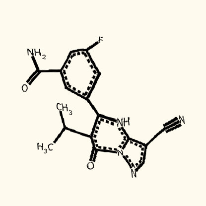 CC(C)c1c(-c2cc(F)cc(C(N)=O)c2)[nH]c2c(C#N)cnn2c1=O